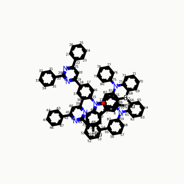 CC(C)(C)c1ccc2c(c1)c1cc(C(C)(C)C)ccc1n2-c1ccc(-c2cc(-c3ccccc3)nc(-c3ccccc3)n2)cc1-c1cc(-c2ccccc2)nc(-c2cccc(-c3cccc(N4c5ccccc5B5c6ccccc6N(c6ccccc6)c6cccc4c65)c3)c2)n1